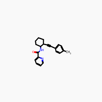 Cc1ccc(C#CC2CCCCC2NC(=O)c2ccccn2)cc1